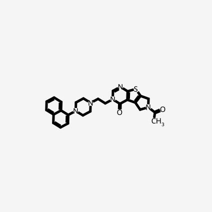 CC(=O)N1Cc2sc3ncn(CCN4CCN(c5cccc6ccccc56)CC4)c(=O)c3c2C1